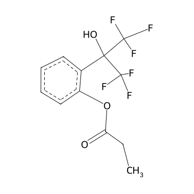 CCC(=O)Oc1ccccc1C(O)(C(F)(F)F)C(F)(F)F